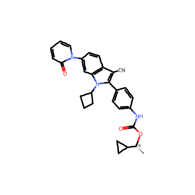 C[C@@H](OC(=O)Nc1ccc(-c2c(C#N)c3ccc(-n4ccccc4=O)cc3n2C2CCC2)cc1)C1CC1